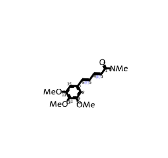 CNC(=O)/C=C/C=C/c1cc(OC)c(OC)c(OC)c1